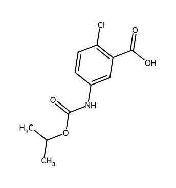 CC(C)OC(=O)Nc1ccc(Cl)c(C(=O)O)c1